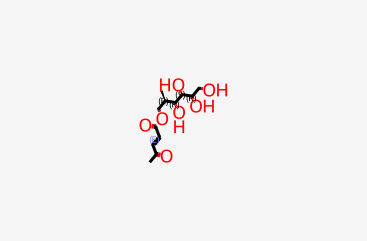 CC(=O)/C=C/C(=O)OC[C@@H](C)[C@@H](O)[C@H](O)[C@H](O)CO